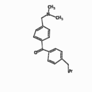 CC(C)Cc1ccc(C(=O)c2ccc(CN(C)C)cc2)cc1